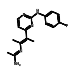 C/C(N)=N\C(C)=C(/C)c1ccnc(Nc2ccc(F)cc2)n1